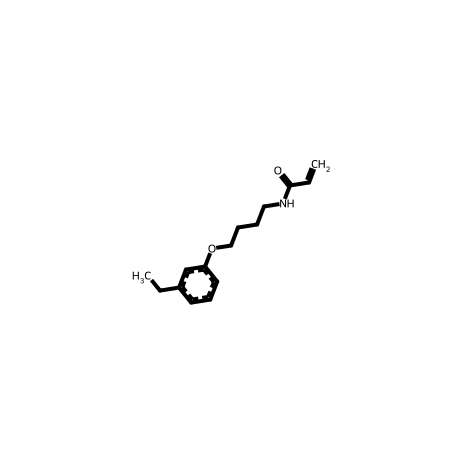 C=CC(=O)NCCCCOc1cccc(CC)c1